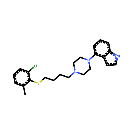 Cc1cccc(Cl)c1SCCCCN1CCN(c2cccc3[nH]ccc23)CC1